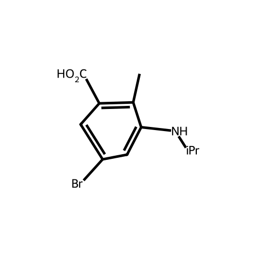 Cc1c(NC(C)C)cc(Br)cc1C(=O)O